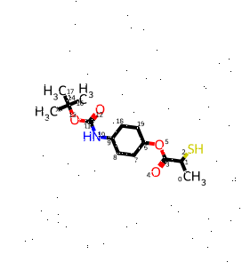 CC(S)C(=O)OC1CCC(NC(=O)OC(C)(C)C)CC1